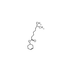 CC(C)CCCCCC(=O)OC1CC=CCC1